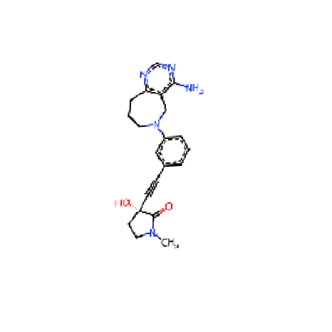 CN1CC[C@@](O)(C#Cc2cccc(N3CCCc4ncnc(N)c4C3)c2)C1=O